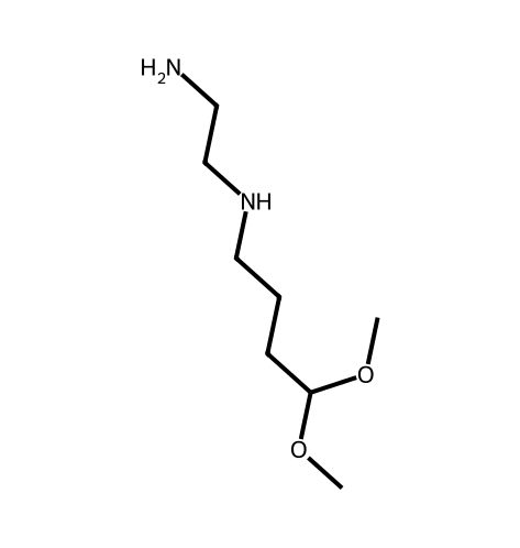 COC(CCCNCCN)OC